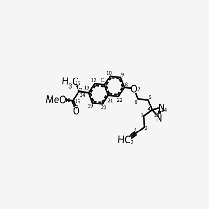 C#CCCC1(CCOc2ccc3cc([C@H](C)C(=O)OC)ccc3c2)N=N1